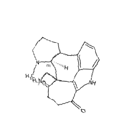 CN1CCCC2c3cccc4[nH]c5c(c34)C(CN)(C(=O)CCC5=O)[C@H]21